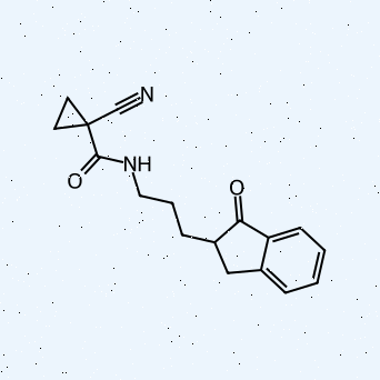 N#CC1(C(=O)NCCCC2Cc3ccccc3C2=O)CC1